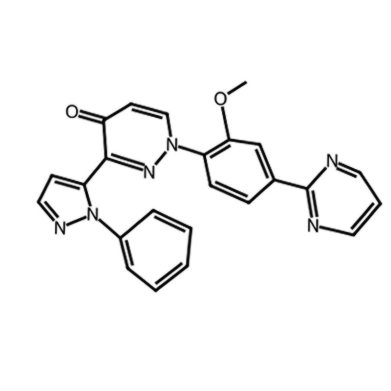 COc1cc(-c2ncccn2)ccc1-n1ccc(=O)c(-c2ccnn2-c2ccccc2)n1